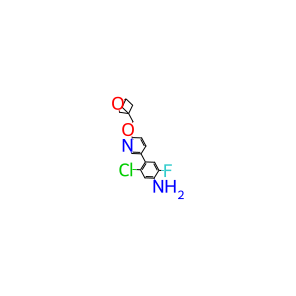 Nc1cc(Cl)c(-c2ccc(OCC34COC(C3)C4)nc2)cc1F